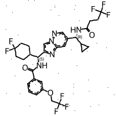 O=C(CCC(F)(F)F)N[C@@H](c1cnn2cc([C@@H](NC(=O)c3cccc(OCC(F)(F)F)c3)C3CCC(F)(F)CC3)nc2c1)C1CC1